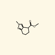 COC(=O)C1CCCc2nn(C)cc21